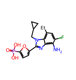 CCc1cc(F)c(N)c2nc(-c3ccc(P(=O)(O)O)o3)n(CC3CC3)c12